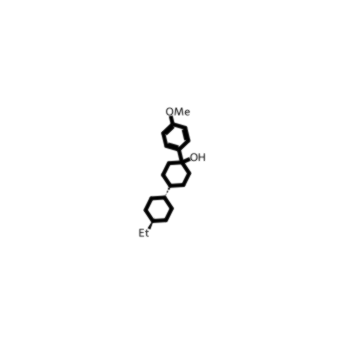 CC[C@H]1CC[C@H](C2CCC(O)(c3ccc(OC)cc3)CC2)CC1